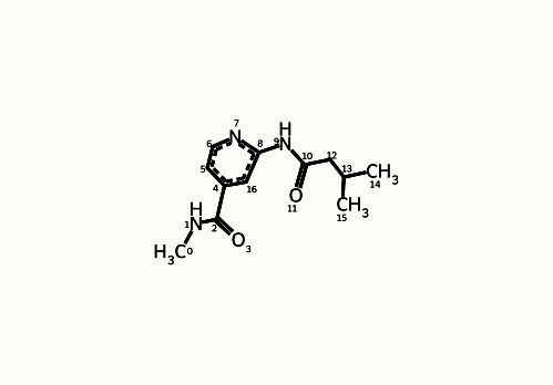 CNC(=O)c1ccnc(NC(=O)CC(C)C)c1